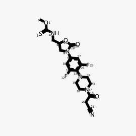 COC(=S)NCC1CN(c2cc(F)c(N3CCN(C(=O)CC#N)CC3)c(F)c2)C(=O)O1